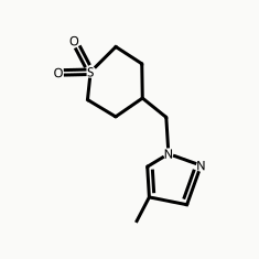 Cc1cnn(CC2CCS(=O)(=O)CC2)c1